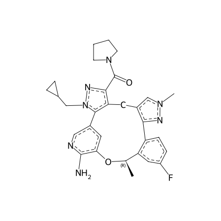 C[C@H]1Oc2cc(cnc2N)-c2c(c(C(=O)N3CCCC3)nn2CC2CC2)Cc2cn(C)nc2-c2ccc(F)cc21